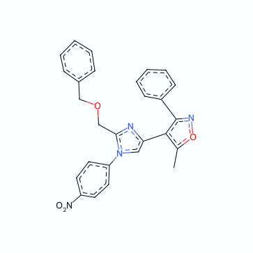 Cc1onc(-c2ccccc2)c1-c1cn(-c2ccc([N+](=O)[O-])cc2)c(COCc2ccccc2)n1